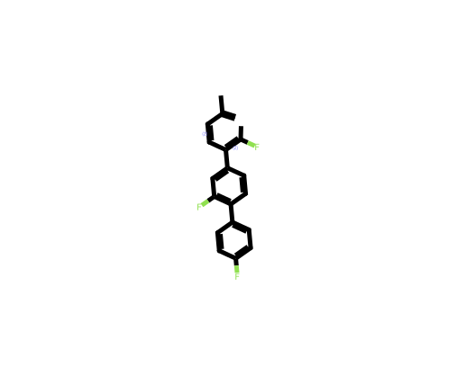 C=C(C)/C=C\C(=C(/C)F)c1ccc(-c2ccc(F)cc2)c(F)c1